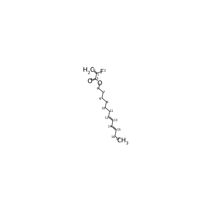 C=C(F)C(=O)OCCCCCCC=CC=CCC